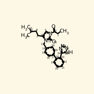 CCC(=O)n1cc(CCC(C)C)n(Cc2ccc(-c3ccccc3-c3nnn[nH]3)cc2)c1=O